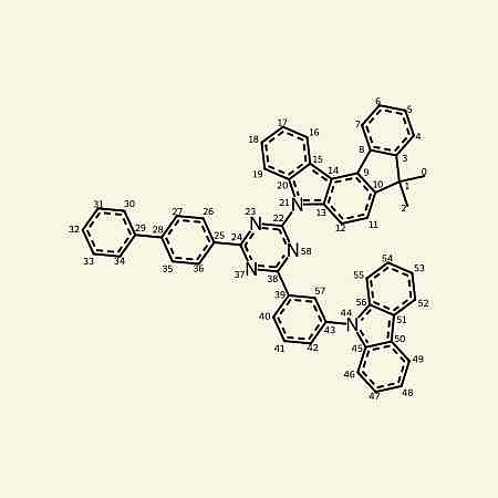 CC1(C)c2ccccc2-c2c1ccc1c2c2ccccc2n1-c1nc(-c2ccc(-c3ccccc3)cc2)nc(-c2cccc(-n3c4ccccc4c4ccccc43)c2)n1